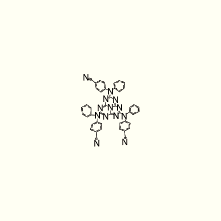 N#Cc1ccc(N(C2=NC3=NC(N(c4ccccc4)c4ccc(C#N)cc4)=NC4=NC(N(c5ccccc5)c5ccc(C#N)cc5)=NC(=N2)N34)c2ccccc2)cc1